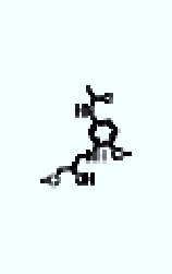 COCC(O)CNc1cc(NC(C)=O)ccc1OC